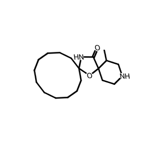 CC1CNCCC12OC1(CCCCCCCCCCC1)NC2=O